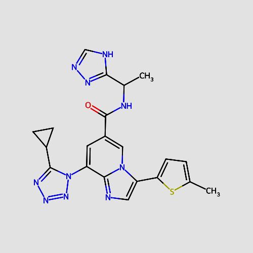 Cc1ccc(-c2cnc3c(-n4nnnc4C4CC4)cc(C(=O)NC(C)c4nnc[nH]4)cn23)s1